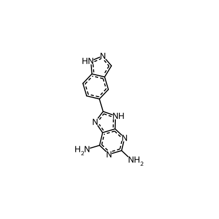 Nc1nc(N)c2nc(-c3ccc4[nH]ncc4c3)[nH]c2n1